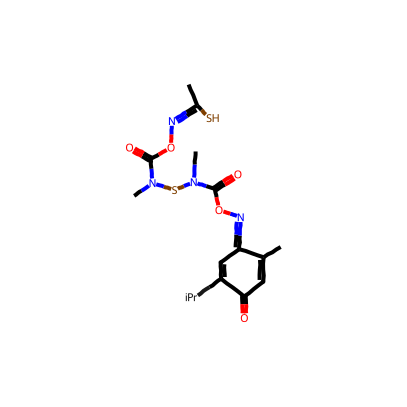 CC1=CC(=O)C(C(C)C)=CC1=NOC(=O)N(C)SN(C)C(=O)ON=C(C)S